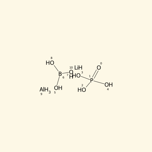 O=P(O)(O)O.OB(O)O.[AlH3].[LiH]